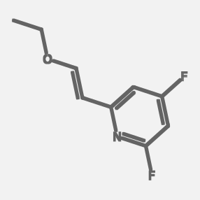 CCO/C=C/c1cc(F)cc(F)n1